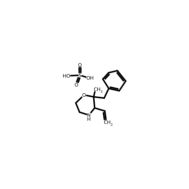 C=CC1NCCOC1(C)Cc1ccccc1.O=S(=O)(O)O